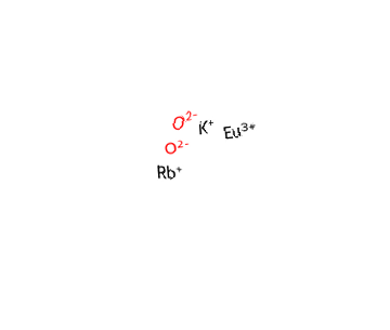 [Eu+3].[K+].[O-2].[O-2].[Rb+]